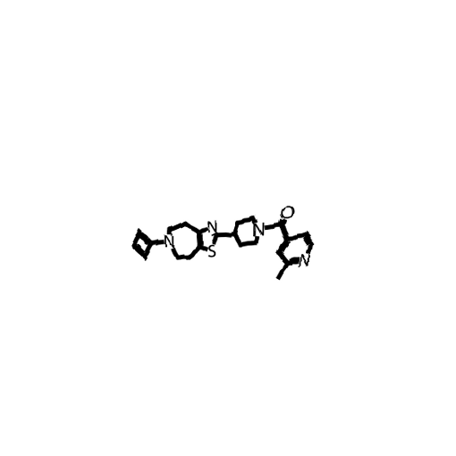 Cc1cc(C(=O)N2CCC(c3nc4c(s3)CCN(C3=CC=C3)CC4)CC2)ccn1